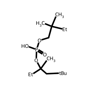 CCC(C)(C)COP(=O)(O)OC(C)(CC)CC(C)(C)C